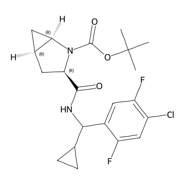 CC(C)(C)OC(=O)N1[C@@H](C(=O)NC(c2cc(F)c(Cl)cc2F)C2CC2)C[C@H]2C[C@H]21